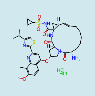 COc1ccc2c(O[C@@H]3C[C@H]4C(=O)N[C@]5(C(=O)NS(=O)(=O)C6CC6)C[C@H]5/C=C/CCCCC[C@H](N)C(=O)N4C3)cc(-c3nc(C(C)C)cs3)nc2c1C.Cl.Cl